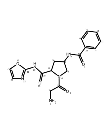 NCC(=O)N1CC(NC(=O)c2ccccc2)CC1C(=O)Nc1ncco1